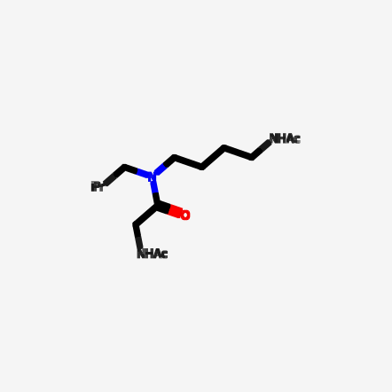 CC(=O)NCCCCN(CC(C)C)C(=O)CNC(C)=O